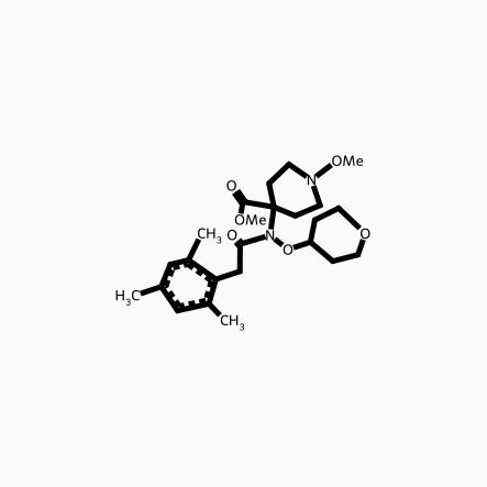 COC(=O)C1(N(OC2CCOCC2)C(=O)Cc2c(C)cc(C)cc2C)CCN(OC)CC1